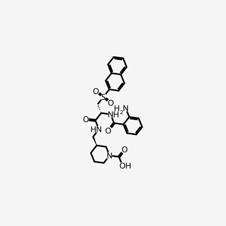 Nc1ccccc1C(=O)N[C@@H](CS(=O)(=O)c1ccc2ccccc2c1)C(=O)NC[C@@H]1CCCN(C(=O)O)C1